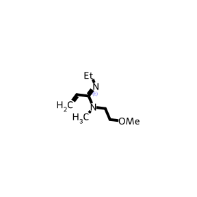 C=C/C(=N\CC)N(C)CCOC